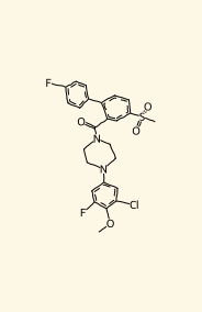 COc1c(F)cc(N2CCN(C(=O)c3cc(S(C)(=O)=O)ccc3-c3ccc(F)cc3)CC2)cc1Cl